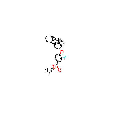 COC(=O)c1ccc(Oc2ccc(C3(C)C4CCCC3CCC4)cc2)c(F)c1